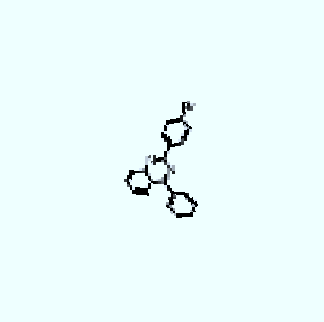 Brc1ccc(C2=NC3C=CC=CC3C(c3ccccc3)=N2)cc1